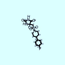 C[C@@]1(CS(=O)(=O)N2CCC(c3ccc(F)cc3)CC2)NC(=O)NC1=O